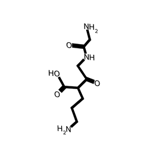 NCCCC(C(=O)O)C(=O)CNC(=O)CN